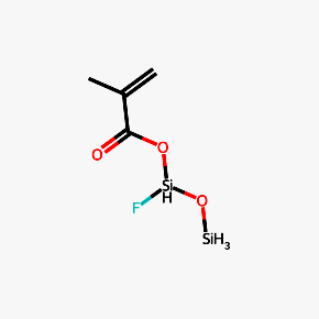 C=C(C)C(=O)O[SiH](F)O[SiH3]